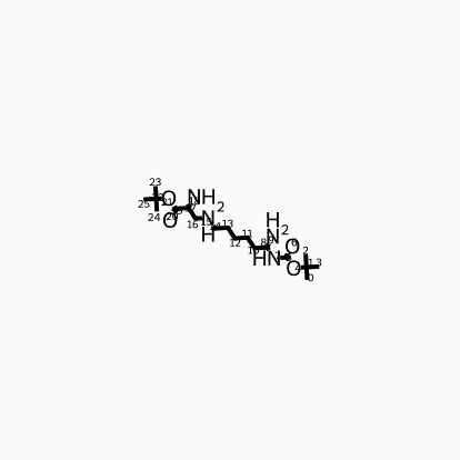 CC(C)(C)OC(=O)NC(N)CCCCCNCC(N)C(=O)OC(C)(C)C